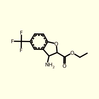 CCOC(=O)C1Oc2ccc(C(F)(F)F)cc2C1N